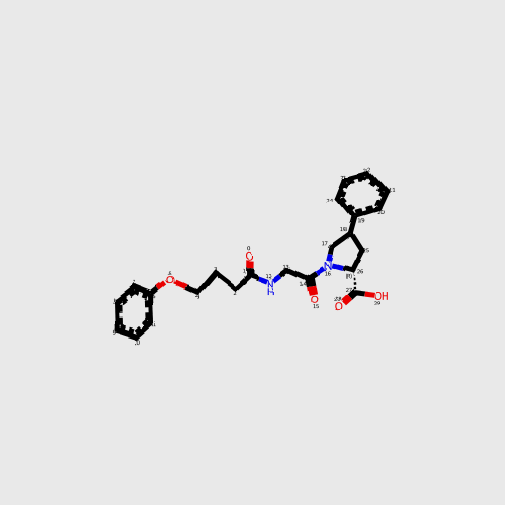 O=C(CCCOc1ccccc1)NCC(=O)N1CC(c2ccccc2)C[C@@H]1C(=O)O